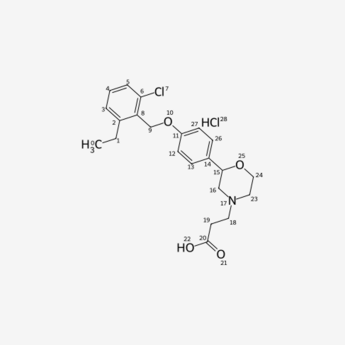 CCc1cccc(Cl)c1COc1ccc(C2CN(CCC(=O)O)CCO2)cc1.Cl